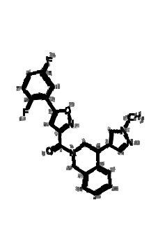 Cn1cc(C2CN(C(=O)c3cc(-c4cc(F)ccc4F)on3)Cc3ccccc32)cn1